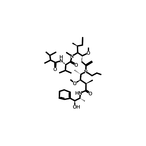 C=C(C[C@@H](OC)C([C@@H](C)CC)N(C)C(=O)[C@@H](NC(=O)C(C)C(C)C)C(C)C)N(CCC)[C@@H](C)[C@H](OC)[C@@H](C)C(=O)N[C@H](C)[C@@H](O)C1=CCCC=C1